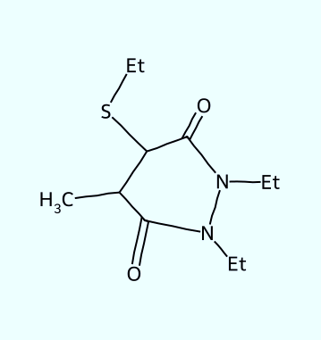 CCSC1C(=O)N(CC)N(CC)C(=O)C1C